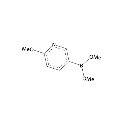 COB(OC)c1ccc(OC)nc1